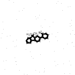 CC1(C)c2ccccc2-c2ccc(-c3ccccc3Br)cc21